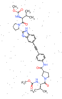 COC(=O)N[C@H](C(=O)N1CCC(C(=O)Nc2ccc(C#Cc3ccc4[nH]c([C@@H]5CCCN5C(=O)[C@@H](NC(=O)OC)C(C)C)nc4c3)cc2)C1)C(C)C